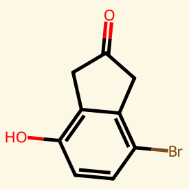 O=C1Cc2c(O)ccc(Br)c2C1